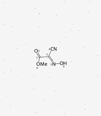 COC(=O)C(C#N)=NO